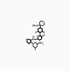 COC1(c2cc(F)c(-c3nc(CNc4cnccc4N4CC(C)CC(N)C4)ccc3F)c(F)c2)CCOCC1